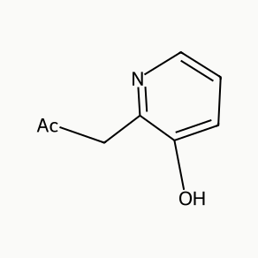 CC(=O)Cc1ncccc1O